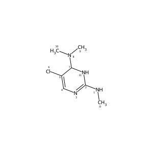 CNC1=NC=C(Cl)C(N(C)C)N1